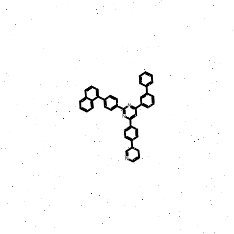 C1=CN=CC(c2ccc(-c3cc(-c4cccc(-c5ccccc5)c4)nc(-c4ccc(-c5cccc6ccccc56)cc4)n3)cc2)C1